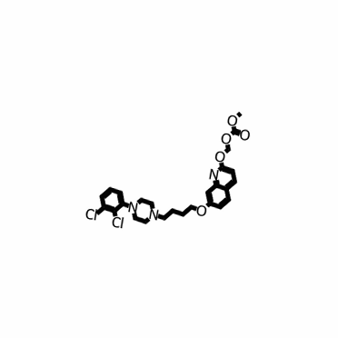 COC(=O)OCOc1ccc2ccc(OCCCCN3CCN(c4cccc(Cl)c4Cl)CC3)cc2n1